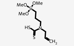 C=CCN(CCC[Si](OC)(OC)OC)C(=S)S